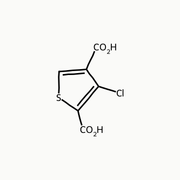 O=C(O)c1csc(C(=O)O)c1Cl